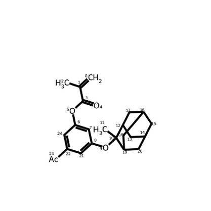 C=C(C)C(=O)Oc1cc(OC2(C)C3CC4CC(C3)CC2C4)cc(C(C)=O)c1